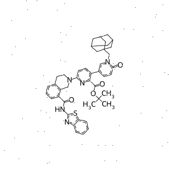 CC(C)(C)OC(=O)c1nc(N2CCc3cccc(C(=O)Nc4nc5ccccc5s4)c3C2)ccc1-c1ccc(=O)n(CC23CC4CC(CC(C4)C2)C3)c1